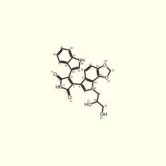 O=C1NC(=O)C(c2cn(CC(O)CO)c3c4c(ccc23)OCO4)=C1c1c[nH]c2ccccc12